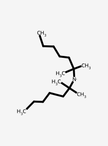 CCCCCC(C)(C)[N]C(C)(C)CCCCC